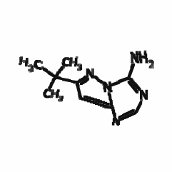 CC(C)(C)c1cc2ncnc(N)n2n1